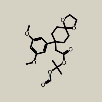 COc1cc(OC)cc(C2(CC(=O)OC(C)(C)OC=O)CCC3(CC2)OCCO3)c1